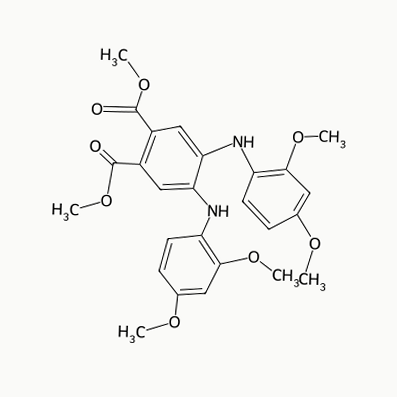 COC(=O)c1cc(Nc2ccc(OC)cc2OC)c(Nc2ccc(OC)cc2OC)cc1C(=O)OC